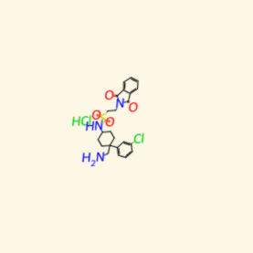 Cl.NCC1(c2cccc(Cl)c2)CCC(NS(=O)(=O)CCN2C(=O)c3ccccc3C2=O)CC1